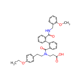 CCOc1ccc(CCN(CCC(=O)O)C(=O)c2ccccc2-c2ccccc2C(=O)NCc2ccccc2OC)cc1